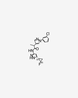 CC(C(=O)Nc1cc([C@@H]2C[C@H]2F)[nH]n1)c1cnn(-c2cccc(Cl)c2)c1